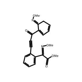 CON=C1CC=CC=C1C(=O)C#Cc1ccccc1C(=NOC)C(=O)OC